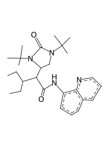 CCC(CC)C(C(=O)Nc1cccc2cccnc12)C1CN(C(C)(C)C)C(=O)N1C(C)(C)C